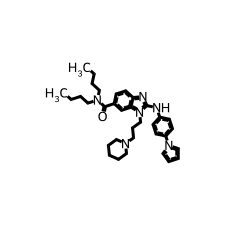 CCCCN(CCCC)C(=O)c1ccc2nc(Nc3ccc(-n4cccc4)cc3)n(CCCN3CCCCC3)c2c1